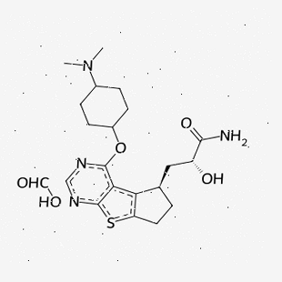 CN(C)C1CCC(Oc2ncnc3sc4c(c23)[C@@H](C[C@@H](O)C(N)=O)CC4)CC1.O=CO